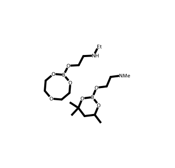 CCNCCOB1OCCOCCO1.CNCCOB1OC(C)CC(C)(C)O1